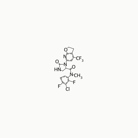 CN(C(=O)C1CNC(=O)N1c1cc(C(F)(F)F)c2c(n1)OCC2)c1ccc(F)c(Cl)c1F